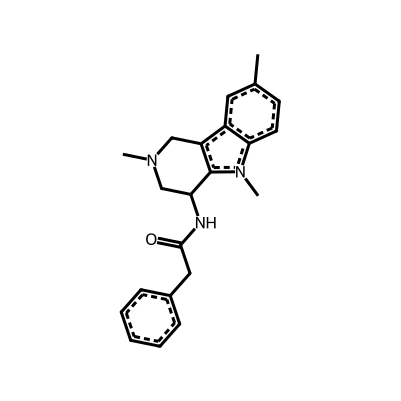 Cc1ccc2c(c1)c1c(n2C)C(NC(=O)Cc2ccccc2)CN(C)C1